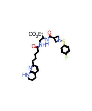 CCOC(=O)C(CNC(=O)CCCCc1ccc2c(n1)NCCC2)NC(=O)C1CN(Sc2ccc(F)cc2)C1